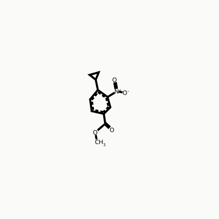 COC(=O)c1ccc(C2CC2)c([N+](=O)[O-])c1